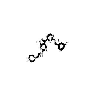 Clc1cccc(CNc2nccc(-c3n[nH]c4nc(NCCN5CCOCC5)ncc34)n2)c1